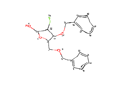 OC1OC(COCc2ccccc2)C(OCc2ccccc2)C1F